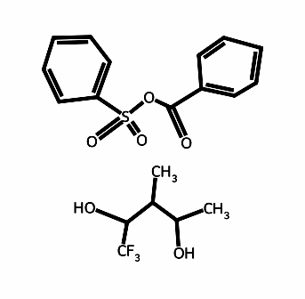 CC(O)C(C)C(O)C(F)(F)F.O=C(OS(=O)(=O)c1ccccc1)c1ccccc1